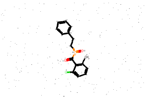 Cc1cccc(Cl)c1C(=O)[PH](=O)CCc1ccccc1